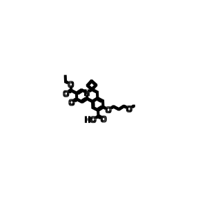 CCOC(=O)c1cn2c(cc1=O)-c1cc(C(=O)O)c(OCCCOC)cc1CC21CCC1